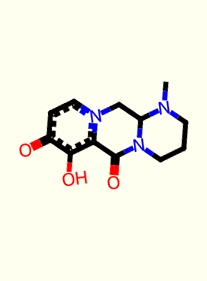 CN1CCCN2C(=O)c3c(O)c(=O)ccn3CC12